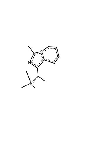 Cc1nc(C(I)[N+](C)(C)C)c2ccccn12